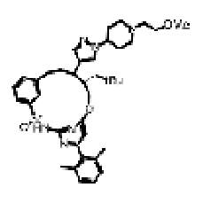 COCCN1CCC(n2cc(C3CCc4cccc(c4)[S+]([O-])Nc4nc(cc(-c5c(C)cccc5C)n4)OC[C@H]3CC(C)(C)C)cn2)CC1